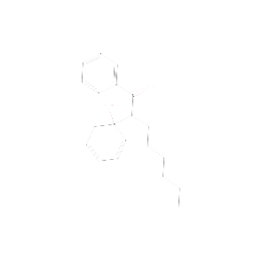 CCCCCCC(C(=O)c1ccccc1)C1(O)C=CC=CC1